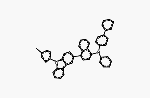 Cc1ccc(-n2c3ccccc3c3cc(-c4ccc(N(c5ccccc5)c5ccc(-c6ccccc6)cc5)c5ccccc45)ccc32)cc1